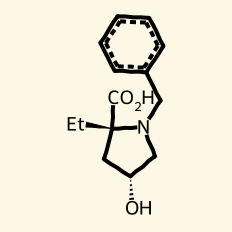 CC[C@]1(C(=O)O)C[C@@H](O)CN1Cc1ccccc1